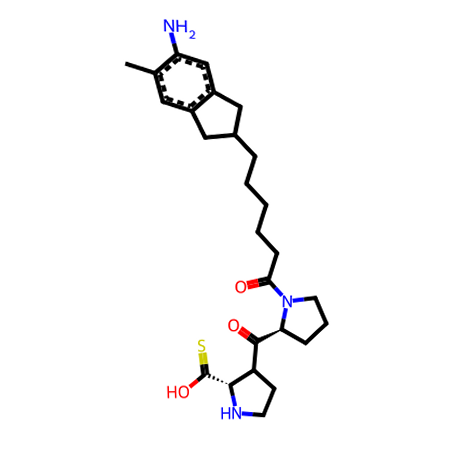 Cc1cc2c(cc1N)CC(CCCCCC(=O)N1CCC[C@H]1C(=O)C1CCN[C@@H]1C(O)=S)C2